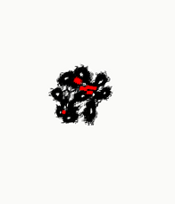 C1=CC2OC(N(c3cc(N(C4=C(c5ccccc5)C5C=CC=CC5O4)c4cc5ccccc5o4)cc(N(c4cc5ccccc5o4)c4oc5ccccc5c4-c4ccccc4)c3)c3cc4ccccc4o3)=C(c3ccccc3)C2C=C1